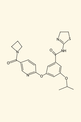 CC(C)Oc1cc(Oc2ccc(C(=O)N3CCC3)cn2)cc(C(=O)NC2=NCCS2)c1